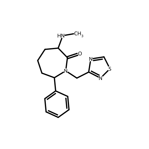 CNC1CCCC(c2ccccc2)N(Cc2ncsn2)C1=O